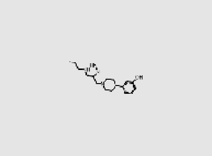 CCCN/C=C(/CN1CCC(c2cccc(O)c2)CC1)N=N